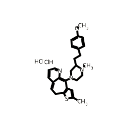 COc1ccc(CCC2CN(C3=c4ncccc4=CCc4sc(C)cc43)CCN2C)cc1.Cl.Cl